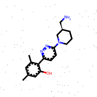 Cc1cc(C)c(-c2ccc(N3CCC[C@H](CN)C3)nn2)c(O)c1